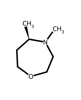 C[C@@H]1CCOCCN1C